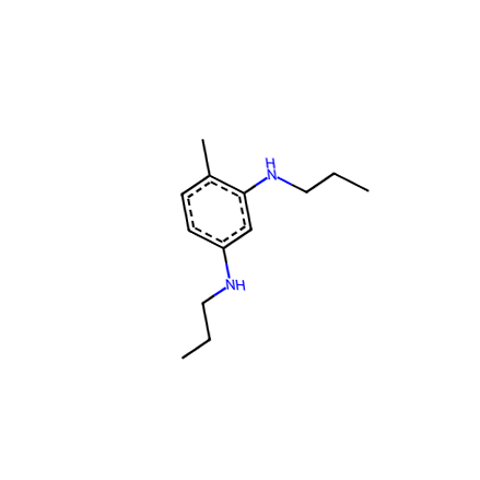 CCCNc1ccc(C)c(NCCC)c1